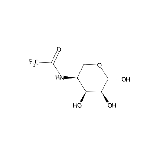 O=C(N[C@H]1COC(O)[C@@H](O)[C@H]1O)C(F)(F)F